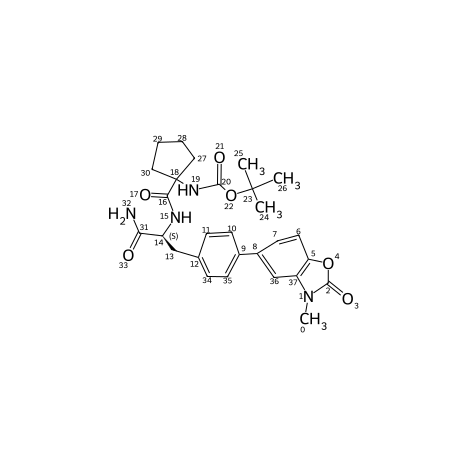 Cn1c(=O)oc2ccc(-c3ccc(C[C@H](NC(=O)C4(NC(=O)OC(C)(C)C)CCCC4)C(N)=O)cc3)cc21